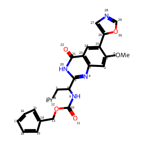 COc1cc2nc(C(CC(C)C)NC(=O)OCc3ccccc3)[nH]c(=O)c2cc1-c1cnco1